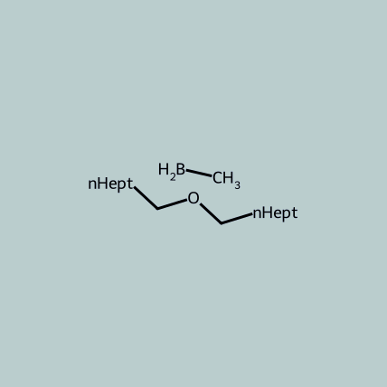 BC.CCCCCCCCOCCCCCCCC